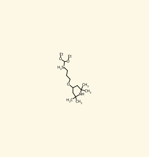 CCOC(OCC)[SiH2]CCCOC1CC(C)(C)NC(C)(C)C1